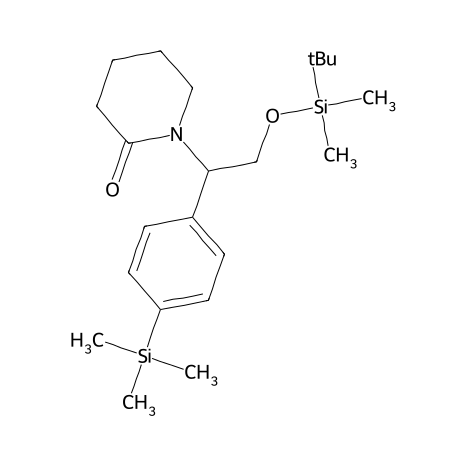 CC(C)(C)[Si](C)(C)OCC(c1ccc([Si](C)(C)C)cc1)N1CCCCC1=O